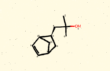 CC(C)(O)C[C@H]1CC2C=CC1C2